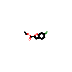 CCOC(=O)c1cc2ccc(F)cc2o1